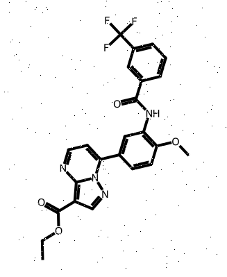 CCOC(=O)c1cnn2c(-c3ccc(OC)c(NC(=O)c4cccc(C(F)(F)F)c4)c3)ccnc12